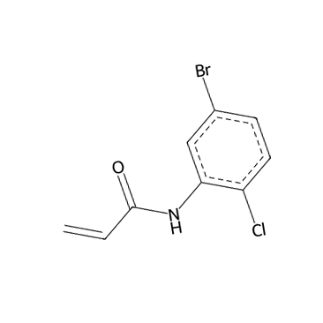 C=CC(=O)Nc1cc(Br)ccc1Cl